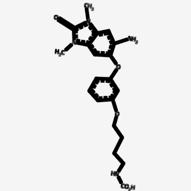 Cn1c(=O)n(C)c2cc(Oc3cccc(OCCCCNC(=O)O)c3)c(N)cc21